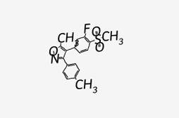 Cc1ccc(-c2noc(C)c2-c2ccc(S(C)(=O)=O)c(F)c2)cc1